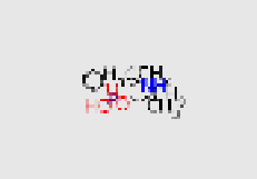 CC1(C)CC(OP(O)Oc2ccccc2)CC(C)(C)N1